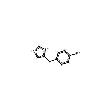 Fc1ccc(Cc2cncs2)cc1